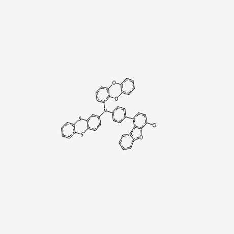 Clc1ccc(-c2ccc(N(c3ccc4c(c3)Sc3ccccc3S4)c3cccc4c3Oc3ccccc3O4)cc2)c2c1oc1ccccc12